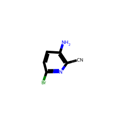 N#Cc1nc(Br)ccc1N